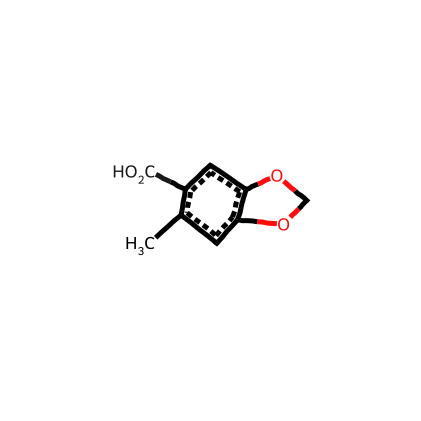 Cc1cc2c(cc1C(=O)O)OCO2